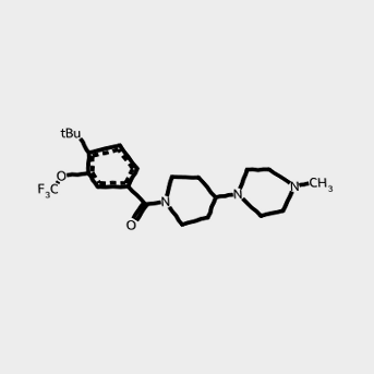 CN1CCN(C2CCN(C(=O)c3ccc(C(C)(C)C)c(OC(F)(F)F)c3)CC2)CC1